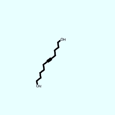 OCCCCC#CCCCCCO